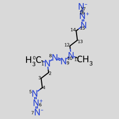 CN(CCCN=[N+]=[N-])/N=N/N(C)CCCN=[N+]=[N-]